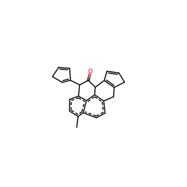 Cc1ccc2c3c4c(ccc13)CC1=C(C=CC1)C4C(=O)C2C1=CCC=C1